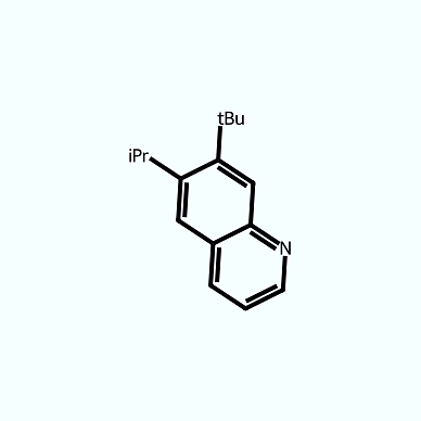 CC(C)c1cc2cccnc2cc1C(C)(C)C